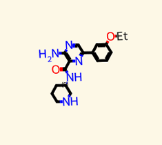 CCOc1cccc(-c2cnc(N)c(C(=O)N[C@H]3CCCNC3)n2)c1